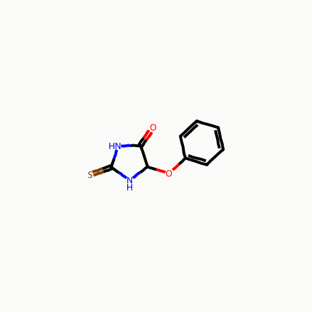 O=C1NC(=S)NC1Oc1ccccc1